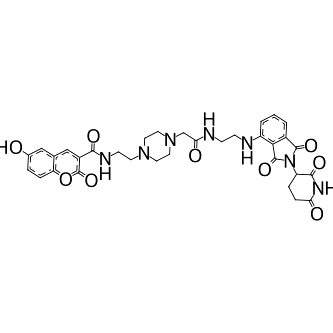 O=C(CN1CCN(CCNC(=O)c2cc3cc(O)ccc3oc2=O)CC1)NCCNc1cccc2c1C(=O)N(C1CCC(=O)NC1=O)C2=O